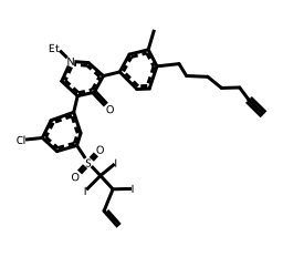 C#CCCCCCc1ccc(-c2cn(CC)cc(-c3cc(Cl)cc(S(=O)(=O)C(I)(I)C(I)C=C)c3)c2=O)cc1C